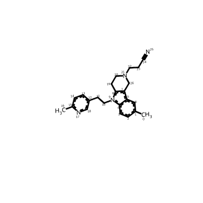 Cc1ccc2c(c1)c1c(n2CCc2ccc(C)nc2)CCN(CCC#N)C1